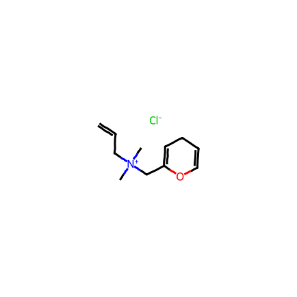 C=CC[N+](C)(C)CC1=CCC=CO1.[Cl-]